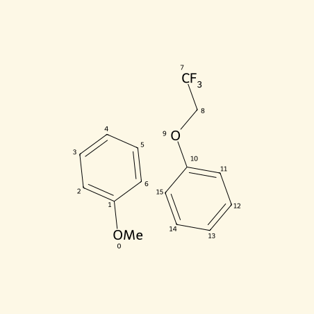 COc1ccccc1.FC(F)(F)COc1ccccc1